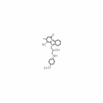 CCOc1ccc(NCC(O)Cn2c3ccccc3n3c(=O)cc(C)c(C#N)c23)cc1